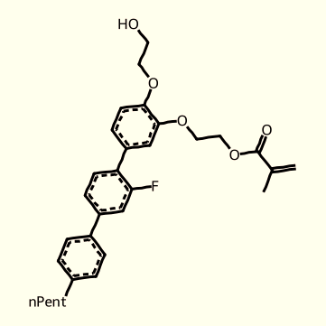 C=C(C)C(=O)OCCOc1cc(-c2ccc(-c3ccc(CCCCC)cc3)cc2F)ccc1OCCO